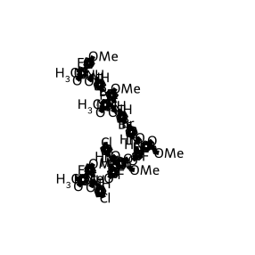 COCCN1CC(c2c(F)cc(OC)cc2F)C(NC(=O)Nc2ccc(Br)cc2)CC1=O.COCCN1CC(c2c(F)cc(OC)cc2F)C(NC(=O)Nc2ccc(Cl)cc2)CC1=O.COc1cc(F)c(C2CN(C)C(=O)CC2NC(=O)Nc2ccc(Br)cc2)c(F)c1.COc1cc(F)c(C2CN(C)C(=O)CC2NC(=O)Nc2ccc(Cl)cc2)c(F)c1.COc1ccc(C2CN(C)C(=O)CC2NC(=O)Nc2ccc(Br)cc2)c(F)c1